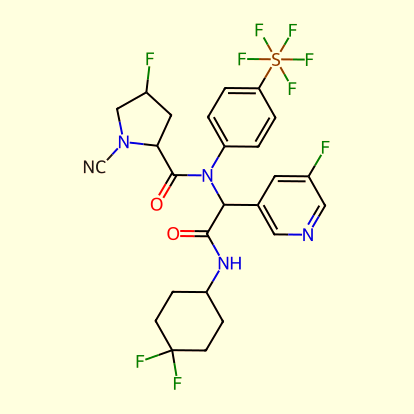 N#CN1CC(F)CC1C(=O)N(c1ccc(S(F)(F)(F)(F)F)cc1)C(C(=O)NC1CCC(F)(F)CC1)c1cncc(F)c1